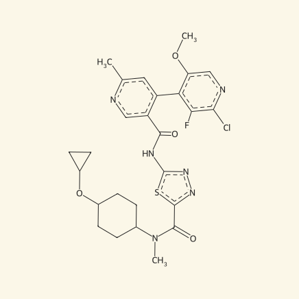 COc1cnc(Cl)c(F)c1-c1cc(C)ncc1C(=O)Nc1nnc(C(=O)N(C)C2CCC(OC3CC3)CC2)s1